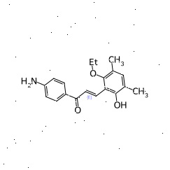 CCOc1c(C)cc(C)c(O)c1/C=C/C(=O)c1ccc(N)cc1